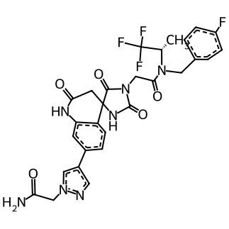 C[C@H](N(Cc1ccc(F)cc1)C(=O)CN1C(=O)NC2(CC(=O)Nc3cc(-c4cnn(CC(N)=O)c4)ccc32)C1=O)C(F)(F)F